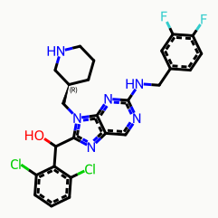 OC(c1c(Cl)cccc1Cl)c1nc2cnc(NCc3ccc(F)c(F)c3)nc2n1C[C@@H]1CCCNC1